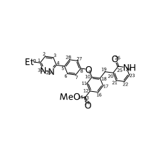 CCc1ccc(-c2ccc(Oc3cc(C(=O)OC)ccc3Cc3ccc[nH]c3=O)cc2)nn1